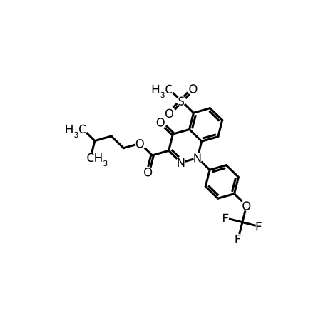 CC(C)CCOC(=O)c1nn(-c2ccc(OC(F)(F)F)cc2)c2cccc(S(C)(=O)=O)c2c1=O